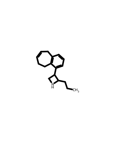 CCCC1NCC1c1cccc2c1CCC=CC2